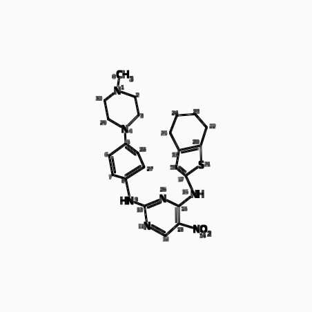 CN1CCN(c2ccc(Nc3ncc([N+](=O)[O-])c(Nc4cc5c(s4)CCCC5)n3)cc2)CC1